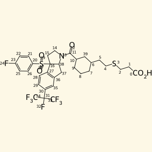 O=C(O)CCSCCC1CCCC(C(=O)N2CCC3(S(=O)(=O)c4ccc(F)cc4)c4ccc(C(F)(C(F)(F)F)C(F)(F)F)cc4CC23)C1